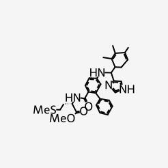 COC(=O)[C@H](CCSC)NC(=O)c1ccc(NC(c2c[nH]cn2)C2CC=C(C)C(C)=C2C)cc1-c1ccccc1